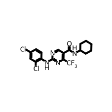 O=C(NC1CCCCC1)c1cnc(Nc2ccc(Cl)cc2Cl)nc1C(F)(F)F